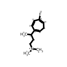 CC(CCN(C)C)C1=CCC=C(F)C=C1